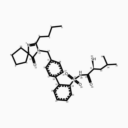 CCCCC1=NC2(CCCC2)C(=O)N1Cc1ccc(-c2ccccc2S(=O)(=O)NC(=O)[C@@H](S)CC(C)C)cc1